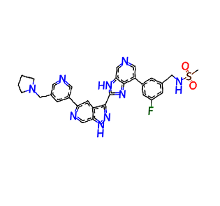 CS(=O)(=O)NCc1cc(F)cc(-c2cncc3[nH]c(-c4n[nH]c5cnc(-c6cncc(CN7CCCC7)c6)cc45)nc23)c1